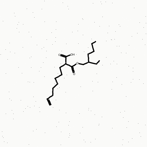 C=CCCCCCCC(C(=O)O)C(=O)OCC(CC)CCCC